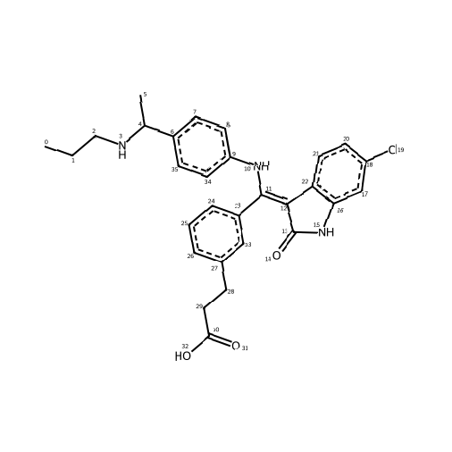 CCCNC(C)c1ccc(NC(=C2C(=O)Nc3cc(Cl)ccc32)c2cccc(CCC(=O)O)c2)cc1